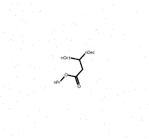 CCCCCCCCCCC(CCCCCCCC)CC(=O)OCCC